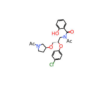 CC(=O)N1CC[C@H](OC[C@H](CN(C(C)=O)C(=O)c2ccccc2O)Oc2ccc(Cl)cc2)C1